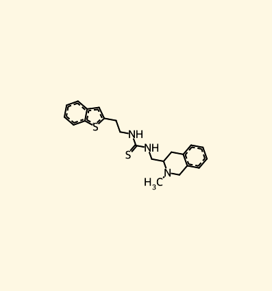 CN1Cc2ccccc2CC1CNC(=S)NCCc1cc2ccccc2s1